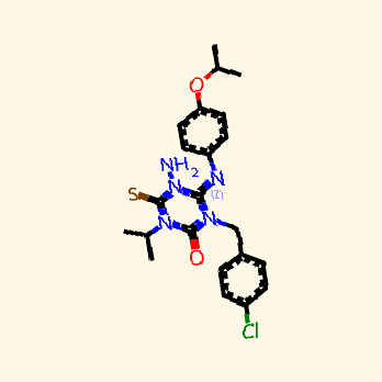 CC(C)Oc1ccc(/N=c2\n(N)c(=S)n(C(C)C)c(=O)n2Cc2ccc(Cl)cc2)cc1